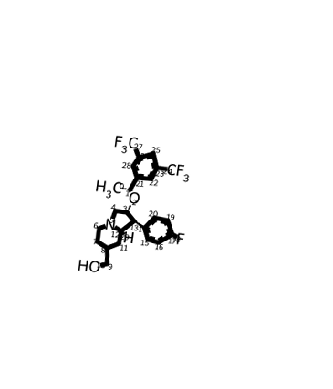 C[C@@H](O[C@H]1CN2CCC(CO)C[C@H]2[C@@H]1c1ccc(F)cc1)c1cc(C(F)(F)F)cc(C(F)(F)F)c1